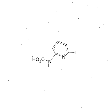 O=C(O)Nc1cccc(I)n1